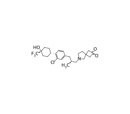 C[C@@H](Cc1ccc([C@H]2CC[C@](O)(C(F)(F)F)CC2)c(Cl)c1)CN1CCC2(C1)CS(=O)(=O)C2